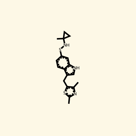 Cc1nc(C)c(Cc2c[nH]c3cc(SNC4(C)CC4)ccc23)s1